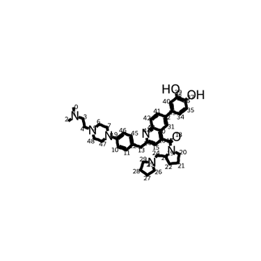 CN(C)CCN1CCN(c2ccc(Cc3cc(C(=O)N4CCCC4CN4CCCC4)c4cc(-c5ccc(O)c(O)c5)ccc4n3)cc2)CC1